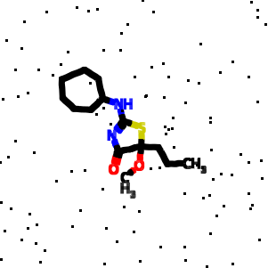 CCCC1(OC)SC(NC2CCCCCC2)=NC1=O